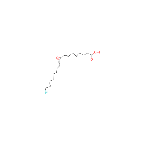 O=C(O)CCCCCCCC1OC1CCCCCCCCF